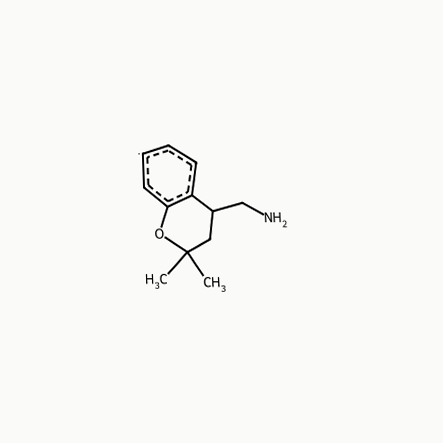 CC1(C)CC(CN)c2cc[c]cc2O1